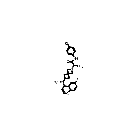 CC(C(=O)Nc1ccc(Cl)cc1)N1CC2(CC(N(C)c3ccnc4ccc(F)cc34)C2)C1